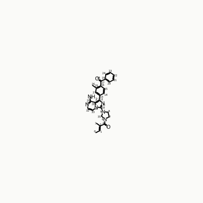 C/C=C(\C)C(=O)N1CCN(c2nc(-c3ccc(C(=O)c4ccccc4)c(C)c3)c3c(N)nccn23)C1